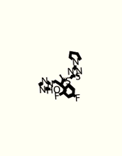 C[C@@H](Sc1nc(N2CCCC2)ns1)C(O)(Cn1cncn1)c1ccc(F)cc1F